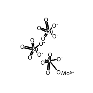 [Mo+6].[O]=[Ru](=[O])(=[O])([O-])[O-].[O]=[Ru](=[O])(=[O])([O-])[O-].[O]=[Ru](=[O])(=[O])([O-])[O-]